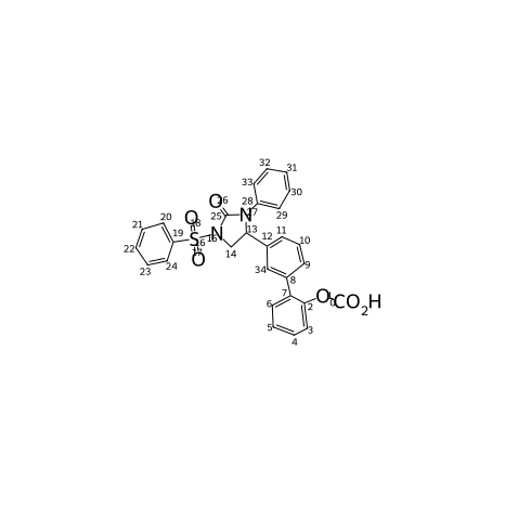 O=C(O)Oc1ccccc1-c1cccc(C2CN(S(=O)(=O)c3ccccc3)C(=O)N2c2ccccc2)c1